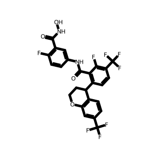 O=C(NO)c1cc(NC(=O)c2c(C3CCOc4cc(C(F)(F)F)ccc43)ccc(C(F)(F)F)c2F)ccc1F